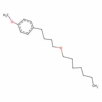 [CH2]CCCCCCOCCCCc1ccc(OC)cc1